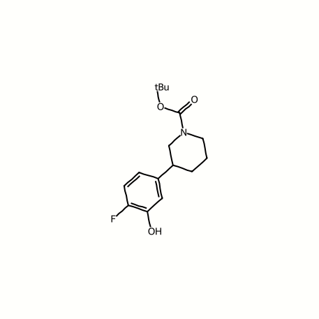 CC(C)(C)OC(=O)N1CCCC(c2ccc(F)c(O)c2)C1